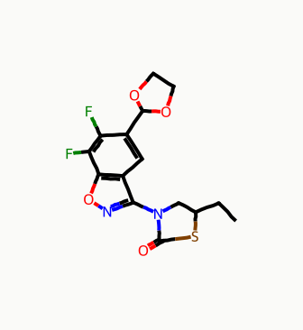 CCC1CN(c2noc3c(F)c(F)c(C4OCCO4)cc23)C(=O)S1